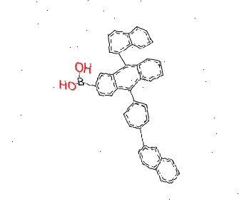 OB(O)c1ccc2c(-c3ccc(-c4ccc5ccccc5c4)cc3)c3ccccc3c(-c3cccc4ccccc34)c2c1